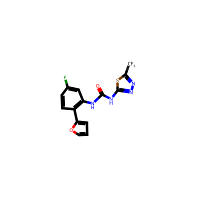 O=C(Nc1nnc(C(F)(F)F)s1)Nc1cc(F)ccc1-c1ccco1